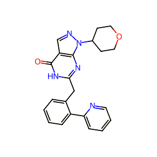 O=c1[nH]c(Cc2ccccc2-c2ccccn2)nc2c1cnn2C1CCOCC1